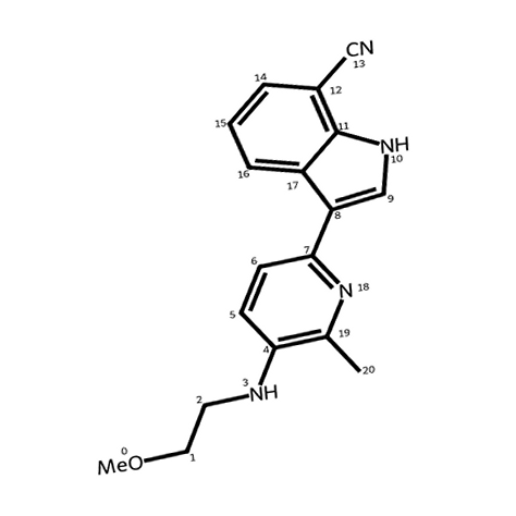 COCCNc1ccc(-c2c[nH]c3c(C#N)cccc23)nc1C